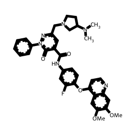 COc1cc2nccc(Oc3ccc(NC(=O)c4cc(CN5CCC(N(C)C)C5)nn(-c5ccccc5)c4=O)cc3F)c2cc1OC